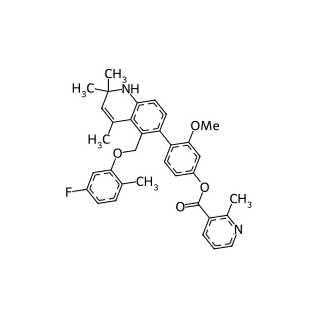 COc1cc(OC(=O)c2cccnc2C)ccc1-c1ccc2c(c1COc1cc(F)ccc1C)C(C)=CC(C)(C)N2